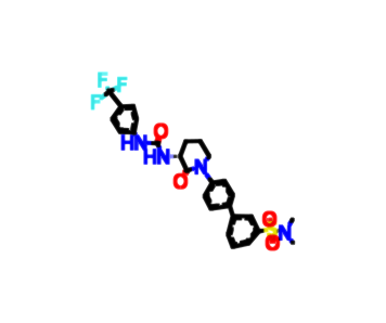 CN(C)S(=O)(=O)c1cccc(-c2ccc(N3CCC[C@@H](NC(=O)Nc4ccc(C(F)(F)F)cc4)C3=O)cc2)c1